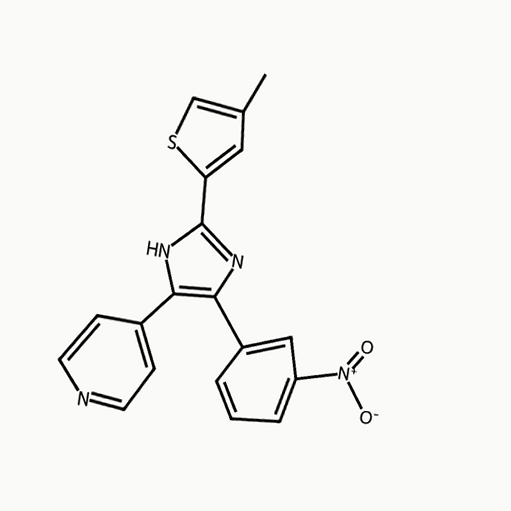 Cc1csc(-c2nc(-c3cccc([N+](=O)[O-])c3)c(-c3ccncc3)[nH]2)c1